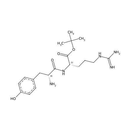 CC(C)(C)OC(=O)[C@H](CCCNC(=N)N)NC(=O)[C@H](N)Cc1ccc(O)cc1